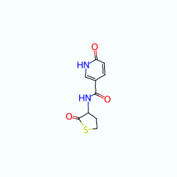 O=C(NC1CCSC1=O)c1ccc(=O)[nH]c1